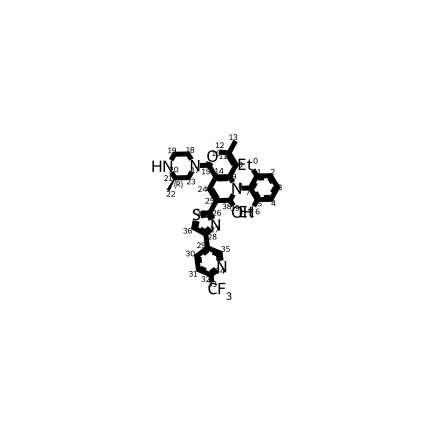 CCc1cccc(CC)c1N1C(C=C(C)C)=C(C(=O)N2CCN[C@H](C)C2)C=C(c2nc(-c3ccc(C(F)(F)F)nc3)cs2)C1O